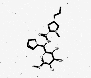 CCC[C@@H]1C[C@@H](C(=O)N[C@@H]([C@H]2OC(SC)[C@H](O)C(O)[C@@H]2O)[C@H]2C=CCC2)N(C)C1